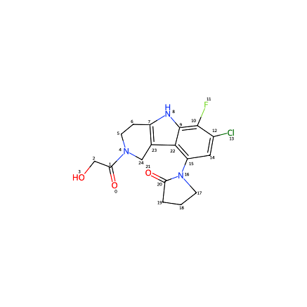 O=C(CO)N1CCc2[nH]c3c(F)c(Cl)cc(N4CCCC4=O)c3c2C1